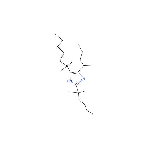 CCCCCC(C)(C)c1[nH]c(C(C)(C)CCCC)nc1C(C)CCC